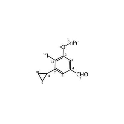 CCCOc1cc(C=O)cc(C2CC2)c1I